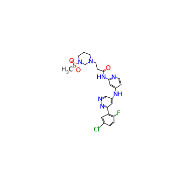 CS(=O)(=O)N1CCCN(CCC(=O)Nc2cc(Nc3cnnc(-c4cc(Cl)ccc4F)c3)ccn2)C1